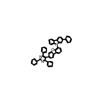 c1ccc(-c2ccc3c4ccccc4n(-c4cccc5c4oc4cc(-c6c(-c7ccccc7)nc(-c7ccccc7)nc6-c6ccccc6)ccc45)c3c2)cc1